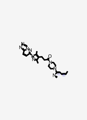 C=N/C(=C\C=C/C)N1CCN(C(=O)CCc2c(C)nn(-c3ccc4nncn4n3)c2C)CC1